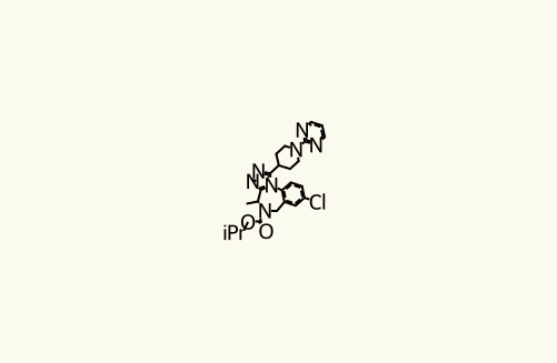 CC(C)OC(=O)N1Cc2cc(Cl)ccc2-n2c(C3CCN(c4ncccn4)CC3)nnc2C1C